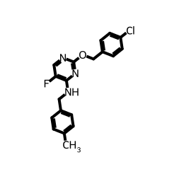 Cc1ccc(CNc2nc(OCc3ccc(Cl)cc3)ncc2F)cc1